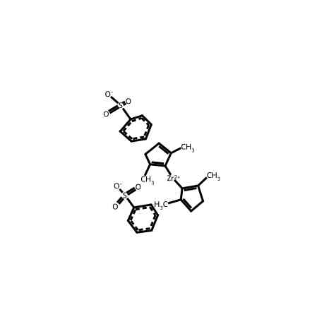 CC1=CCC(C)=[C]1[Zr+2][C]1=C(C)CC=C1C.O=S(=O)([O-])c1ccccc1.O=S(=O)([O-])c1ccccc1